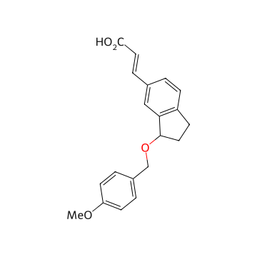 COc1ccc(COC2CCc3ccc(/C=C/C(=O)O)cc32)cc1